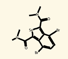 CN(C)C(=O)c1[se]c(C(=O)N(C)C)c2c(Br)ccc(Br)c12